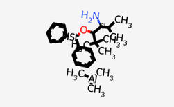 CC(C)[C@H](N)C(O[SiH](c1ccccc1)c1ccccc1)C(C)(C)C.[CH3][Al]([CH3])[CH3]